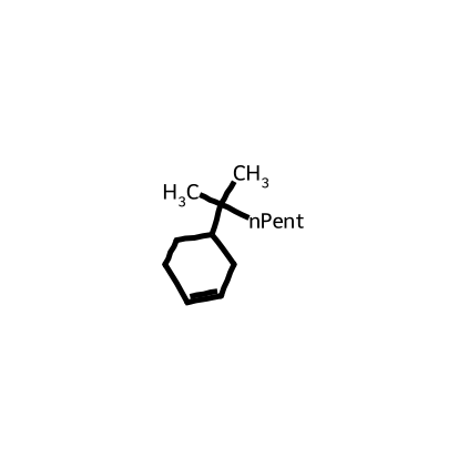 CCCCCC(C)(C)C1CC=CCC1